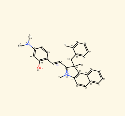 CCN(CC)c1ccc(/C=C/C2=[N+](C)c3ccc4ccccc4c3C2(C)Cc2ccccc2C)c(O)c1